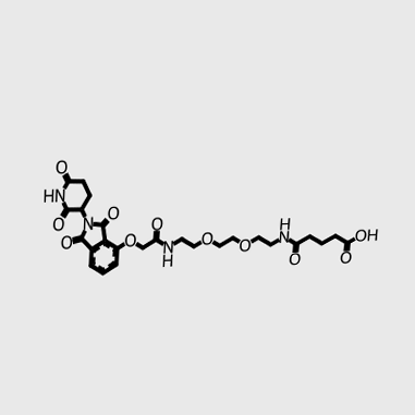 O=C(O)CCCC(=O)NCCOCCOCCNC(=O)COc1cccc2c1C(=O)N(C1CCC(=O)NC1=O)C2=O